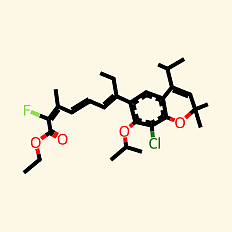 CCOC(=O)\C(F)=C(C)/C=C/C=C(\CC)c1cc2c(c(Cl)c1OC(C)C)OC(C)(C)C=C2C(C)C